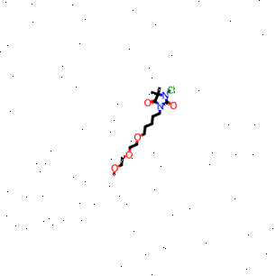 COCCOCCOCCCCCN1C(=O)N(Cl)C(C)(C)C1=O